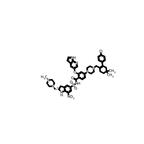 CN1CCN(C[C@@H]2Cc3cc(S(=O)(=O)NC(=O)c4ccc(N5CCN(CC6=C(c7ccc(Cl)cc7)CC(C)(C)CC6)CC5)cc4Oc4cnc5[nH]ccc5c4)cc([N+](=O)[O-])c3N2)CC1